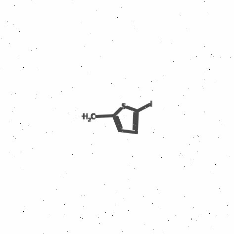 [CH2]c1ccc(I)s1